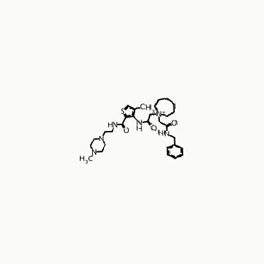 Cc1csc(C(=O)NCCN2CCN(C)CC2)c1NC(=O)C[N+]1(CC(=O)NCc2ccccc2)CCCCCC1